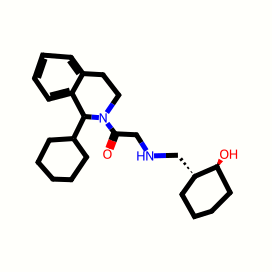 O=C(CNC[C@H]1CCCC[C@@H]1O)N1CCc2ccccc2C1C1CCCCC1